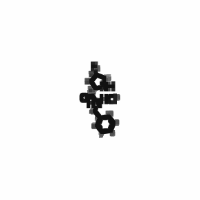 Cl.O=C(NCc1ccccc1)[C@@H]1C[C@@H](F)CN1